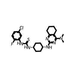 CN(C)c1nc(N[C@H]2CC[C@@H](NC(=S)Nc3cc(Cl)ccc3F)CC2)nc2c1CCCC2